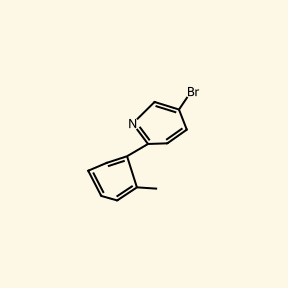 Cc1ccccc1-c1ccc(Br)cn1